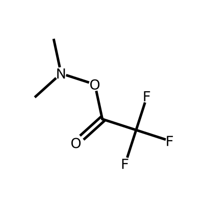 CN(C)OC(=O)C(F)(F)F